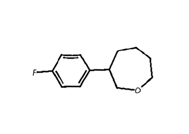 Fc1ccc(C2CCCCOC2)cc1